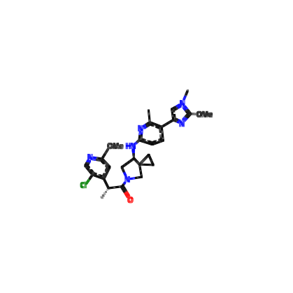 COc1cc([C@@H](C)C(=O)N2C[C@@H](Nc3ccc(-c4cn(C)c(OC)n4)c(C)n3)C3(CC3)C2)c(Cl)cn1